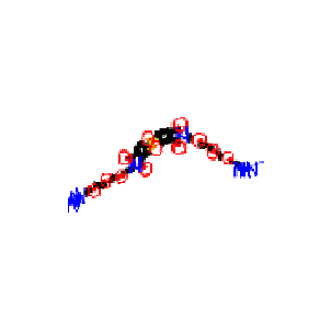 [N-]=[N+]=NCCOCCOCCOCCN1C(=O)c2ccc(S(=O)(=O)c3ccc4c(c3)C(=O)N(CCOCCOCCOCCN=[N+]=[N-])C4=O)cc2C1=O